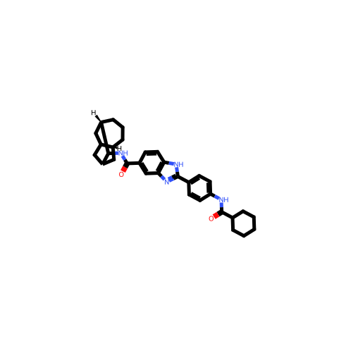 O=C(NC1C2CC3C[C@@H]1CCC[C@H]3C2)c1ccc2[nH]c(-c3ccc(NC(=O)C4CCCCC4)cc3)nc2c1